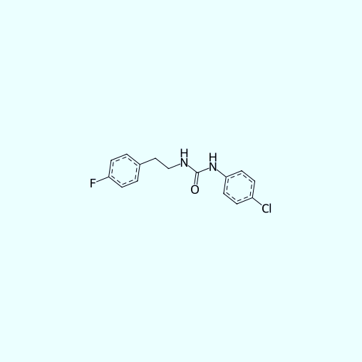 O=C(NCCc1ccc(F)cc1)Nc1ccc(Cl)cc1